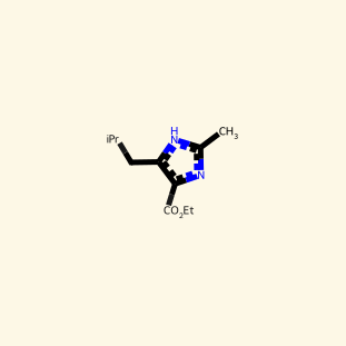 CCOC(=O)c1nc(C)[nH]c1CC(C)C